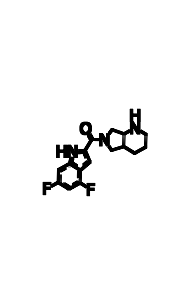 O=C(c1cc2c(F)cc(F)cc2[nH]1)N1CC2CCCNC2C1